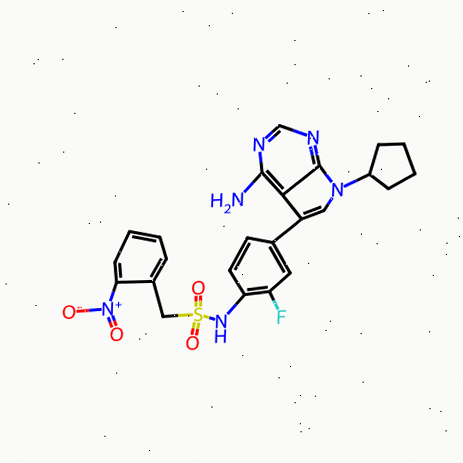 Nc1ncnc2c1c(-c1ccc(NS(=O)(=O)Cc3ccccc3[N+](=O)[O-])c(F)c1)cn2C1CCCC1